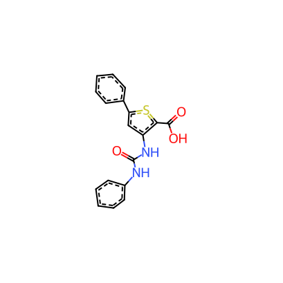 O=C(Nc1ccccc1)Nc1cc(-c2ccccc2)sc1C(=O)O